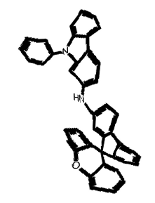 c1ccc(-n2c3ccccc3c3ccc(Nc4ccc5c(c4)C4(c6ccccc6Oc6ccccc64)c4ccccc4-5)cc32)cc1